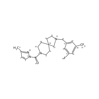 Cc1ccn(C(=O)N2CCC3(CCN(Cc4cc(F)cc(C(F)(F)F)c4)C3)CC2)n1